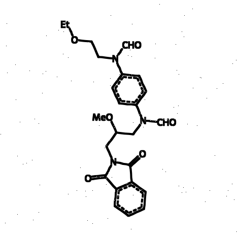 CCOCCN(C=O)c1ccc(N(C=O)CC(CN2C(=O)c3ccccc3C2=O)OC)cc1